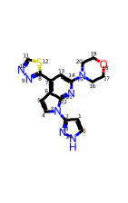 c1cc(-n2ccc3c(-c4nncs4)cc(N4CCOCC4)nc32)n[nH]1